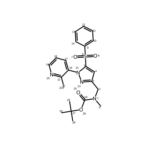 CN(Cc1cc(S(=O)(=O)c2ccccc2)n(-c2cccnc2F)n1)C(=O)OC(C)(C)C